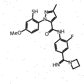 COc1ccc(-n2nc(C)cc2C(=O)Nc2ccc(C(=N)N3CCC3)cc2F)c(S)c1